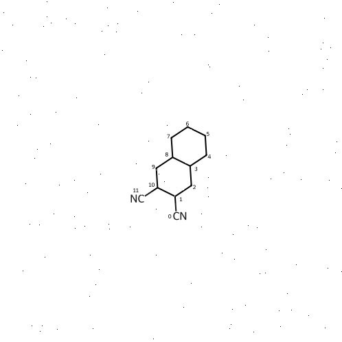 N#CC1CC2CCCCC2CC1C#N